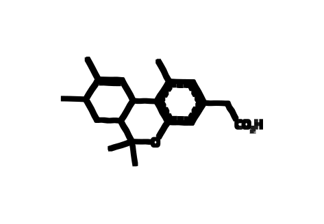 CC1=CC2c3c(C)cc(CC(=O)O)cc3OC(C)(C)C2CC1C